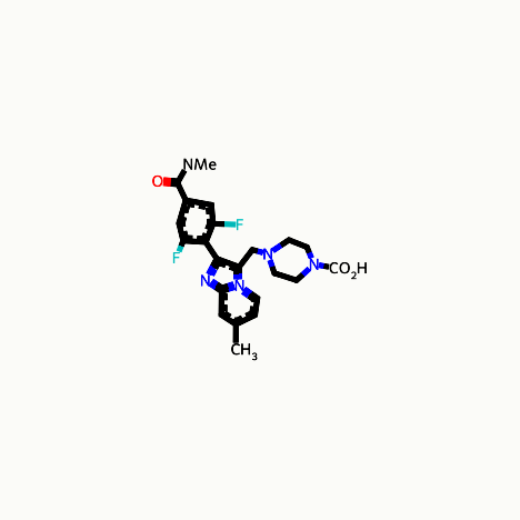 CNC(=O)c1cc(F)c(-c2nc3cc(C)ccn3c2CN2CCN(C(=O)O)CC2)c(F)c1